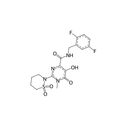 Cn1c(N2CCCCS2(=O)=O)nc(C(=O)NCc2cc(F)ccc2F)c(O)c1=O